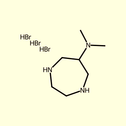 Br.Br.Br.CN(C)C1CNCCNC1